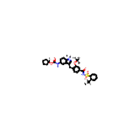 [2H]C([2H])([2H])Oc1cc(C(=O)NS(=O)(=O)c2ccccc2C([2H])([2H])[2H])ccc1Cc1cn(C)c2ccc(NC(=O)OC3([2H])CCCC3)cc12